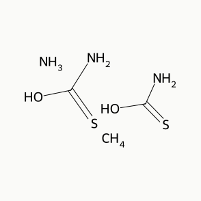 C.N.NC(O)=S.NC(O)=S